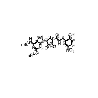 CCCCNc1nc(SCCC)nc2c1nnn2C1C[C@H](C(=O)NCc2cc([N+](=O)[O-])ccc2O)C(O)C1O